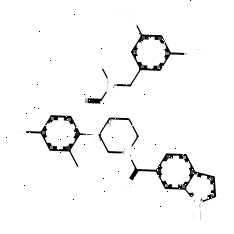 Cc1cc(F)ccc1[C@@H]1CN(C(=O)c2ccc3cc[nH]c3c2)CC[C@H]1C(=O)N(C)Cc1cc(C(F)(F)F)cc(C(F)(F)F)c1